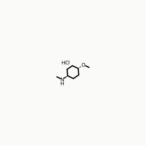 CN[C@H]1CC[C@H](OC)CC1.Cl